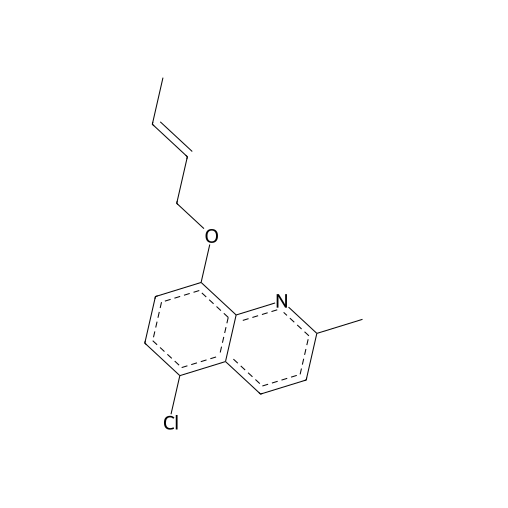 CC=CCOc1ccc(Cl)c2ccc(C)nc12